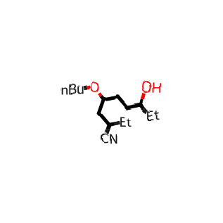 CCCCOC(CCC(O)CC)CC(C#N)CC